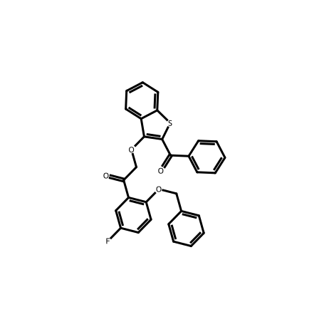 O=C(COc1c(C(=O)c2ccccc2)sc2ccccc12)c1cc(F)ccc1OCc1ccccc1